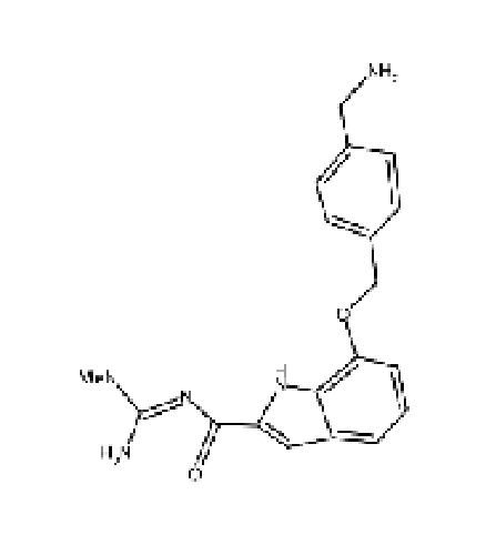 CNC(N)=NC(=O)c1cc2cccc(OCc3ccc(CN)cc3)c2[nH]1